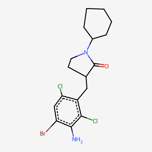 Nc1c(Br)cc(Cl)c(CC2CCN(C3CCCCC3)C2=O)c1Cl